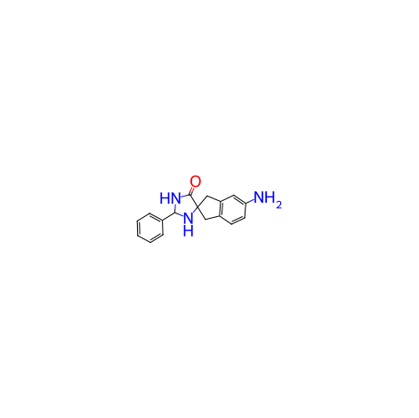 Nc1ccc2c(c1)CC1(C2)NC(c2ccccc2)NC1=O